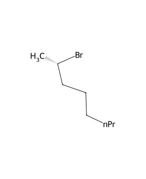 CCCCCC[C@H](C)Br